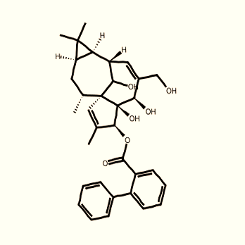 CC1=C[C@]23C(O)[C@@H](C=C(CO)[C@@H](O)[C@]2(O)[C@H]1OC(=O)c1ccccc1-c1ccccc1)[C@H]1[C@@H](C[C@H]3C)C1(C)C